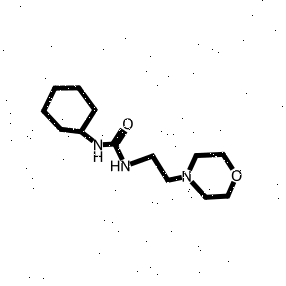 O=C(NCCN1CCOCC1)NC1CCCCC1